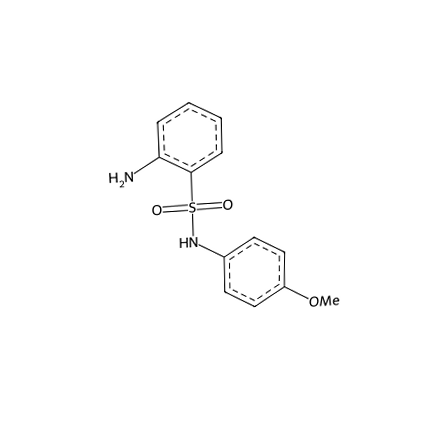 COc1ccc(NS(=O)(=O)c2ccccc2N)cc1